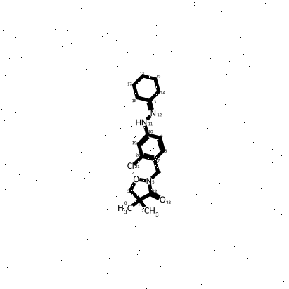 CC1(C)CON(Cc2ccc(NN=C3CCCCC3)cc2Cl)C1=O